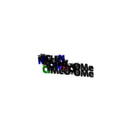 COc1cc(OC)c(-c2cc3nccc(Nc4ccc(Sc5nccn5C)c(Cl)c4)c3o2)cc1OC